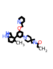 C=CC(=O)N1CC2(CCN(c3cc(OCc4ccccn4)cc(-c4c(C)ccc5[nH]ncc45)c3)CC2)C1